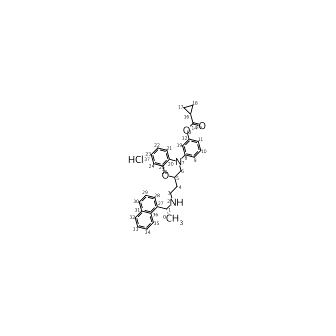 C[C@@H](NCCC1CN(c2cccc(OC(=O)C3CC3)c2)c2ccccc2O1)c1cccc2ccccc12.Cl